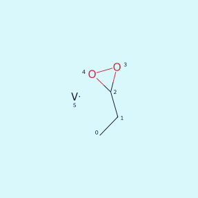 CCC1OO1.[V]